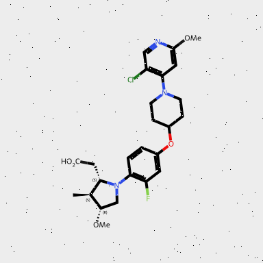 COc1cc(N2CCC(Oc3ccc(N4C[C@H](OC)[C@@H](C)[C@@H]4CC(=O)O)c(F)c3)CC2)c(Cl)cn1